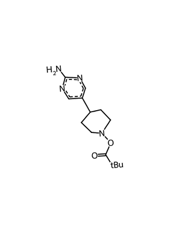 CC(C)(C)C(=O)ON1CCC(c2cnc(N)nc2)CC1